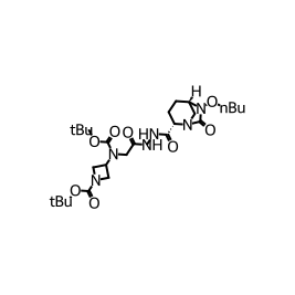 CCCCON1C(=O)N2C[C@@H]1CC[C@H]2C(=O)NNC(=O)CN(C(=O)OC(C)(C)C)C1CN(C(=O)OC(C)(C)C)C1